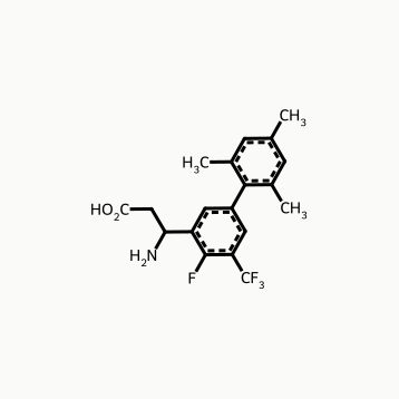 Cc1cc(C)c(-c2cc(C(N)CC(=O)O)c(F)c(C(F)(F)F)c2)c(C)c1